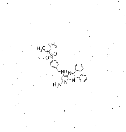 CCN(CC)S(=O)(=O)c1ccc(CNc2cc(N)nc3nc(-c4ccccc4)c(-c4ccccc4)nc23)cc1